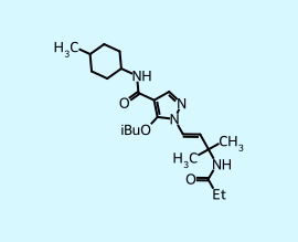 CCC(=O)NC(C)(C)/C=C/n1ncc(C(=O)NC2CCC(C)CC2)c1OCC(C)C